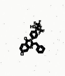 O=c1c2ccc(Cl)cc2nc(Cc2ccccc2)n1-c1ccc(C(O)(C(F)(F)F)C(F)(F)F)cc1